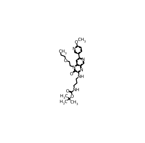 CCCOCCn1c(=O)c(NCCCNC(=O)OC(C)(C)C)nc2cnc(-c3ccc(OC)nc3)cc21